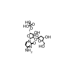 Nc1ccn([C@@H]2O[C@H](COP(=O)(O)O)[C@H](O)[C@H]2O[C@]2(O)C[C@H](O)[C@@H](CO)O2)c(=O)n1